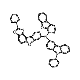 c1ccc(-c2nc3c(ccc4oc5cc(N(c6ccc7c(c6)c6ccccc6n7-c6ccccc6)c6cccc7c6oc6ccccc67)ccc5c43)o2)cc1